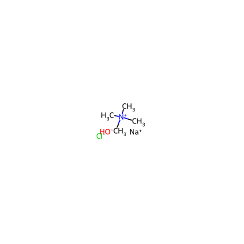 C[N+](C)(C)C.[Cl-].[Na+].[OH-]